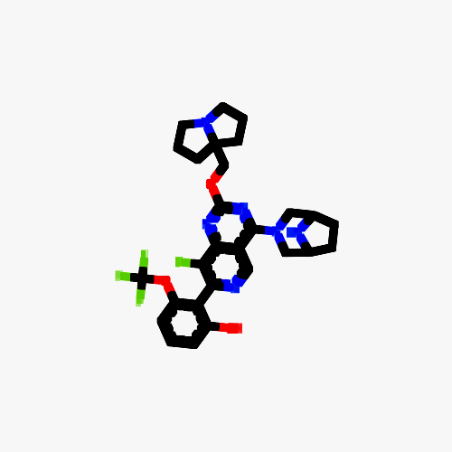 Oc1cccc(OC(F)(F)F)c1-c1ncc2c(N3CC4CCC(C3)N4)nc(OCC34CCCN3CCC4)nc2c1F